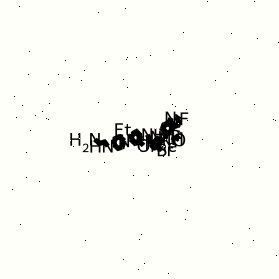 CCc1cc(Nc2ncc(Br)c(Nc3ccc4ncc(F)cc4c3P(C)(C)=O)n2)c(OC)cc1N1CCC(NCCN)CC1